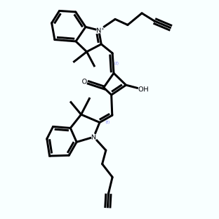 C#CCCCN1/C(=C/C2=C(O)C(=C/C3=[N+](CCCC#C)c4ccccc4C3(C)C)/C2=O)C(C)(C)c2ccccc21